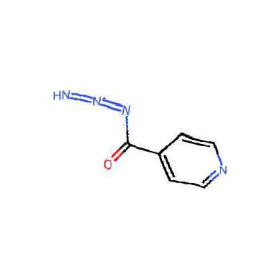 N=[N+]=NC(=O)c1ccncc1